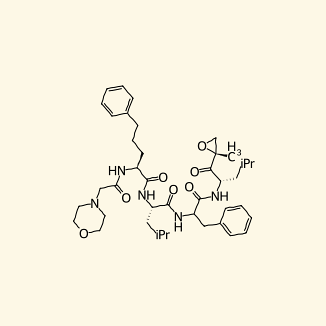 CC(C)C[C@H](NC(=O)[C@H](CCCc1ccccc1)NC(=O)CN1CCOCC1)C(=O)NC(Cc1ccccc1)C(=O)N[C@@H](CC(C)C)C(=O)[C@@]1(C)CO1